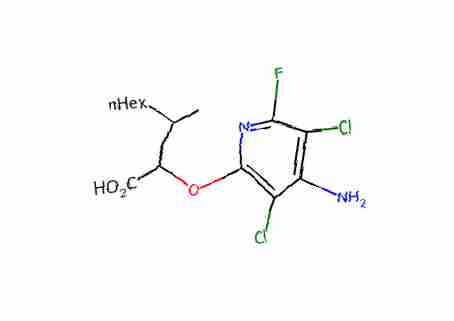 CCCCCCC(C)C(Oc1nc(F)c(Cl)c(N)c1Cl)C(=O)O